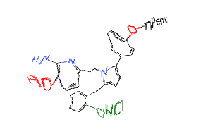 CCCCCOc1ccc(-c2ccc(-c3ccccc3Cl)n2Cc2ccc(O)c(N)n2)cc1.Cl